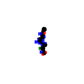 CS(=O)(=O)NCc1cc(F)cc(-c2ccnc3[nH]c(-c4n[nH]c5ncc(-c6cncc(NC(=O)CC7CCCCC7)c6)cc45)nc23)c1